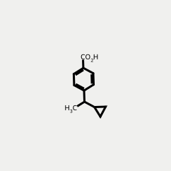 CC(c1ccc(C(=O)O)cc1)C1CC1